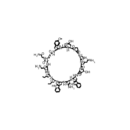 CCCC[C@H]1C(=O)N(C)[C@@H](CCCC)C(=O)N[C@@H](CCCN)C(=O)N[C@H](C(=O)NCC(N)=O)CSCC(=O)N[C@@H](Cc2ccc(OC)cc2)C(=O)N(C)[C@@H](C)C(=O)N[C@@H](CC(=O)O)C(=O)N2CCC[C@H]2C(=O)N[C@@H](CN)C(=O)N[C@@H](CCCCN)C(=O)N2C[C@H](O)C[C@H]2C(=O)N[C@@H](Cc2c[nH]c3ccccc23)C(=O)N[C@@H](CCN)C(=O)N[C@@H](Cc2c[nH]c3ccccc23)C(=O)N1C